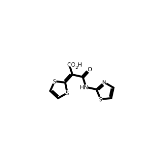 O=C(O)C(C(=O)Nc1nccs1)=C1SC=CS1